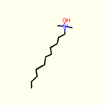 CCCCCCCCCCC[N+](C)(C)O